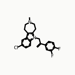 C=C(Cn1c2c(c3cc(Cl)ccc31)CCN(C)CC2)c1ccc(F)c(F)c1